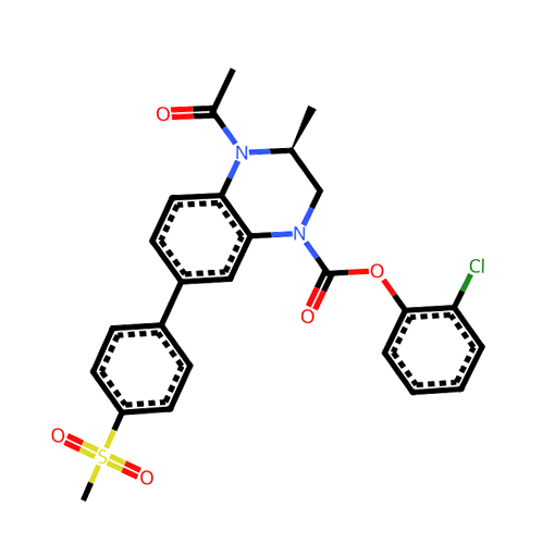 CC(=O)N1c2ccc(-c3ccc(S(C)(=O)=O)cc3)cc2N(C(=O)Oc2ccccc2Cl)C[C@@H]1C